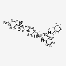 CN(Cc1ccccc1)c1nc(NC[C@H]2CC[C@H](CNS(=O)(=O)c3ccc(Br)cc3)CC2)nc2ccccc12